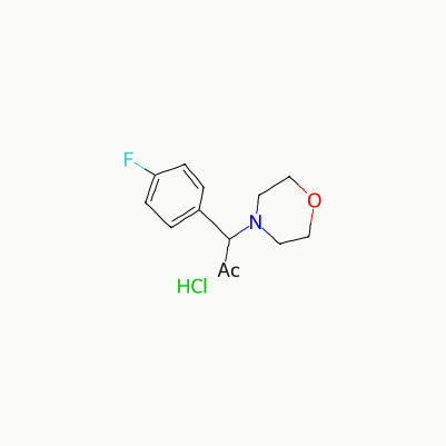 CC(=O)C(c1ccc(F)cc1)N1CCOCC1.Cl